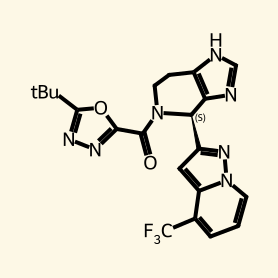 CC(C)(C)c1nnc(C(=O)N2CCc3[nH]cnc3[C@H]2c2cc3c(C(F)(F)F)cccn3n2)o1